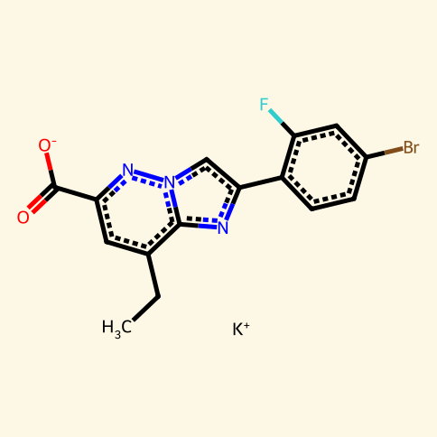 CCc1cc(C(=O)[O-])nn2cc(-c3ccc(Br)cc3F)nc12.[K+]